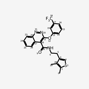 Cc1scc(CCNC(=O)c2c(Oc3cccc(C(F)(F)F)c3)nnc3ccccc23)c1C